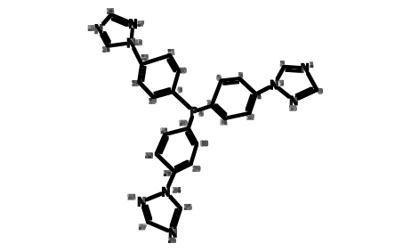 c1ncn(-c2ccc(P(c3ccc(-n4cncn4)cc3)c3ccc(-n4cncn4)cc3)cc2)n1